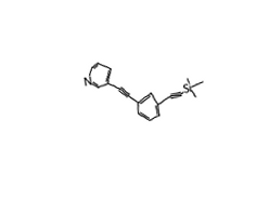 C[Si](C)(C)C#Cc1cccc(C#Cc2cccnc2)c1